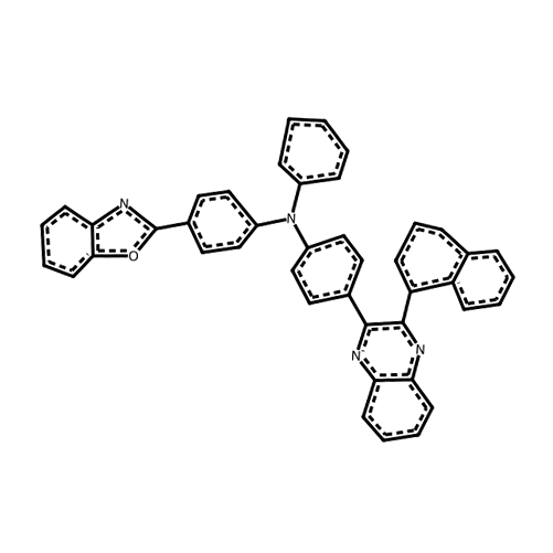 c1ccc(N(c2ccc(-c3nc4ccccc4o3)cc2)c2ccc(-c3nc4ccccc4nc3-c3cccc4ccccc34)cc2)cc1